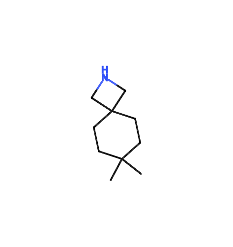 CC1(C)CCC2(CC1)CNC2